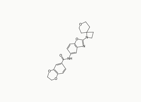 O=C(Nc1ccc2oc(N3CCC34CCOCC4)nc2c1)c1ccc2c(c1)OCCO2